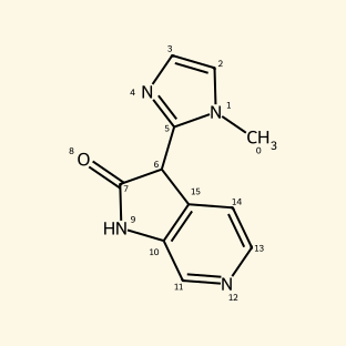 Cn1ccnc1C1C(=O)Nc2cnccc21